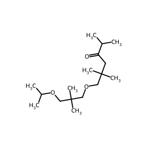 CC(C)OCC(C)(C)COCC(C)(C)CC(=O)C(C)C